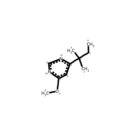 CCC(C)(C)c1cc(OC)ncn1